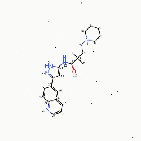 CC(C)(CCN1CCCCC1)C(=O)Nc1cc(-c2ccc3ncccc3c2)n[nH]1